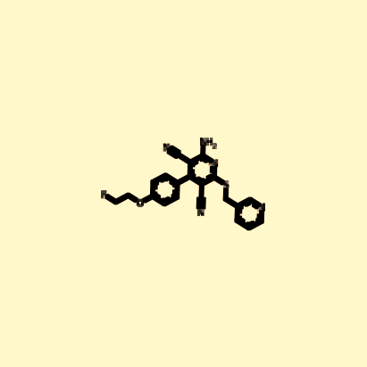 N#Cc1c(N)nc(SCc2cccnc2)c(C#N)c1-c1ccc(OCCF)cc1